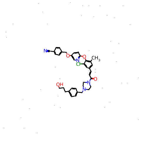 Cc1cc(C=CC(=O)N2CCN(Cc3ccc(CCCO)cc3)CC2)cc(Cl)c1Oc1ccc(OCc2ccc(C#N)cc2)cn1